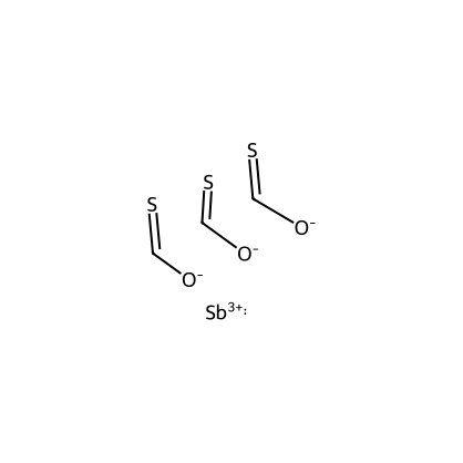 [O-]C=S.[O-]C=S.[O-]C=S.[Sb+3]